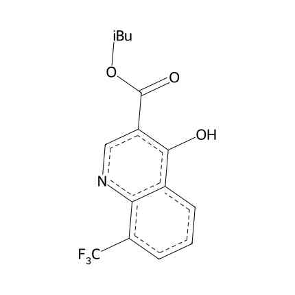 CCC(C)OC(=O)c1cnc2c(C(F)(F)F)cccc2c1O